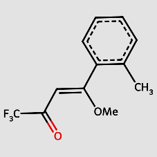 CO/C(=C\C(=O)C(F)(F)F)c1ccccc1C